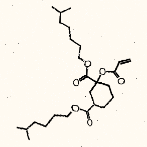 C=CC(=O)OC1(C(=O)OCCCCCC(C)C)CCCC(C(=O)OCCCCC(C)C)C1